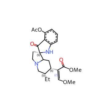 CC[C@@H]1CN2CC[C@]3(Nc4cccc(OC(C)=O)c4C3=O)C2C[C@@H]1/C(=C/OC)C(=O)OC